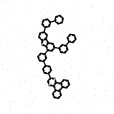 c1ccc(-c2cccc(-c3ccc4sc5c(-c6cccc(-c7ccc(-c8cnc9c%10ccccc%10c%10ccccc%10c9n8)cc7)c6)cc(-c6cccc(-c7ccccc7)c6)cc5c4c3)c2)cc1